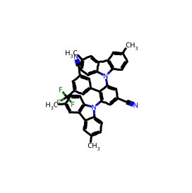 Cc1ccc2c(c1)c1cc(C)ccc1n2-c1cc(C#N)cc(-n2c3ccc(C)cc3c3cc(C)ccc32)c1-c1cc(C#N)cc(C(F)(F)F)c1